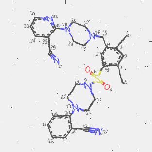 Cc1cc(C)c(S(=O)(=O)N2CCN(c3ccccc3C#N)CC2)cc1CN1CCN(c2ncccc2C#N)CC1